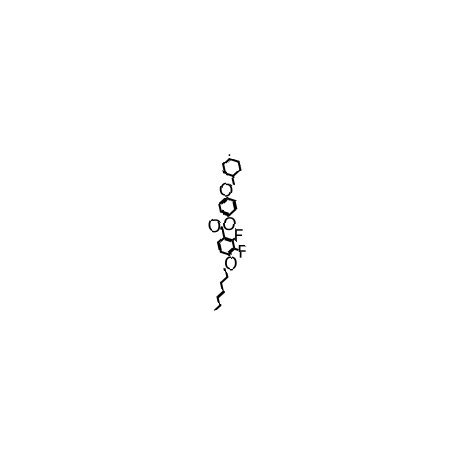 CCCCCCCOc1ccc(C(=O)Oc2ccc(OCC3CC[CH]CC3)cc2)c(F)c1F